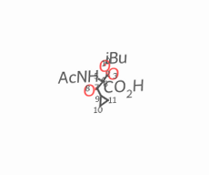 CCC(C)OC(=O)C(NC(C)=O)(C(=O)O)C(=O)C1CC1